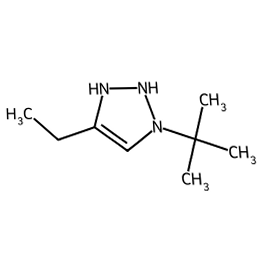 CCC1=CN(C(C)(C)C)NN1